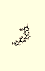 Oc1cc(F)cc(CN2CCN(c3ccc(-c4cn[nH]c4)cn3)C2=S)c1